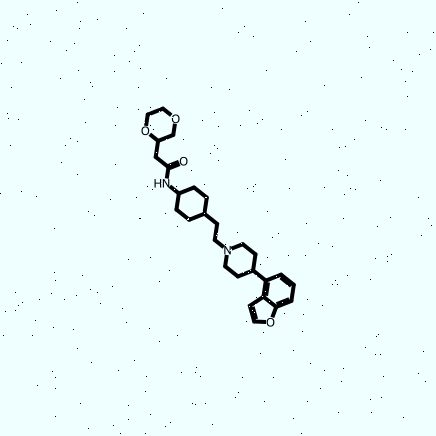 O=C(CC1COCCO1)NC1CCC(CCN2CCC(c3cccc4occc34)CC2)CC1